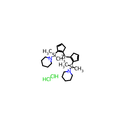 C[Si](C)(C1=[C]([Zr][C]2=C([Si](C)(C)N3CCCCC3)C=CC2)CC=C1)N1CCCCC1.Cl.Cl